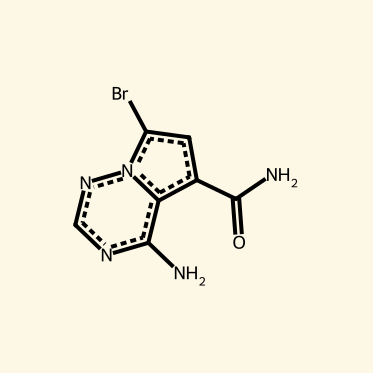 NC(=O)c1cc(Br)n2ncnc(N)c12